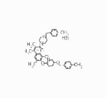 Br.C/C(C(=O)N1CCN(Cc2ccc(C)cc2)CC1)=C(\C)c1cc(C)c(Oc2ccc(OCc3ccc(C)cc3)cn2)c(Cl)c1